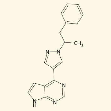 CC(Cc1ccccc1)n1cc(-c2ncnc3[nH]ccc23)cn1